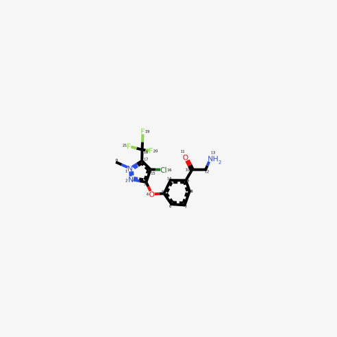 Cn1nc(Oc2cccc(C(=O)CN)c2)c(Cl)c1C(F)(F)F